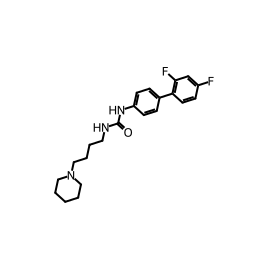 O=C(NCCCCN1CCCCC1)Nc1ccc(-c2ccc(F)cc2F)cc1